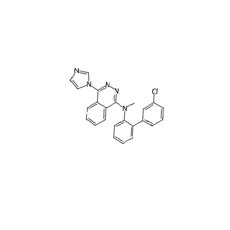 CN(c1ccccc1-c1cccc(Cl)c1)c1nnc(-n2ccnc2)c2ccccc12